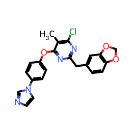 Cc1c(Cl)nc(Cc2ccc3c(c2)OCO3)nc1Oc1ccc(-n2ccnc2)cc1